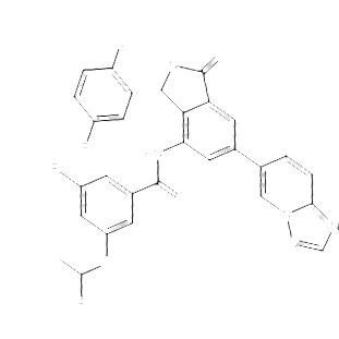 O=C(Nc1cc(-c2ccc3ncnn3c2)cc2c1[C@H](c1cc(F)ccc1Cl)NC2=O)c1cc(F)cc(OC(F)F)c1